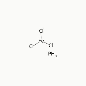 P.[Cl][Fe]([Cl])[Cl]